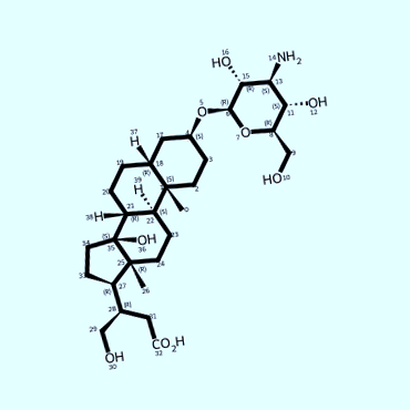 C[C@]12CC[C@H](O[C@@H]3O[C@H](CO)[C@@H](O)[C@H](N)[C@H]3O)C[C@H]1CC[C@@H]1[C@@H]2CC[C@]2(C)[C@@H]([C@H](CO)CC(=O)O)CC[C@]12O